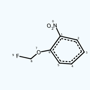 O=[N+]([O-])c1ccccc1OCF